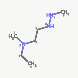 CCN(C)CCNNC